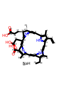 C=Cc1c(C)c2cc3nc(c(CC(=O)O)c4nc(cc5[nH]c(cc1[nH]2)c(C)c5CC)C(C)=C4C(=O)O)[C@@H](CCC(=O)O)[C@@H]3C.[NaH]